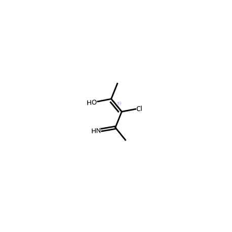 CC(=N)/C(Cl)=C(/C)O